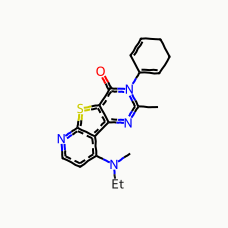 CCN(C)c1ccnc2sc3c(=O)n(C4=CCCC=C4)c(C)nc3c12